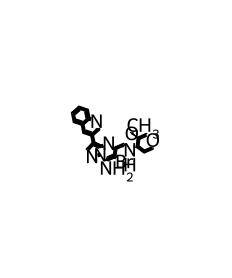 CO[C@H]1COCC[C@@H]1NCc1nc2c(-c3cnc4ccccc4c3)cnn2c(N)c1Br